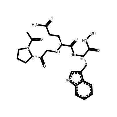 CC(=O)N1CCC[C@H]1C(=O)CN[C@@H](CCC(N)=O)C(=O)N[C@@H](Cc1c[nH]c2ccccc12)C(=O)NO